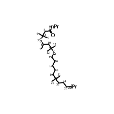 CCCC(=O)CC(C)(C)SC(C)CC(C)(C)SCCCCCC(C)(C)CCCC(C)C